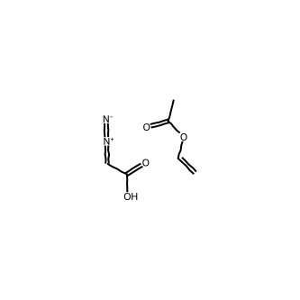 C=COC(C)=O.[N-]=[N+]=CC(=O)O